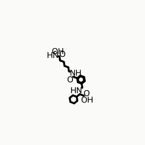 O=C(CCCCCNC(=O)c1cccc(CN[C@H](C(=O)O)C2CCCCC2)c1)NO